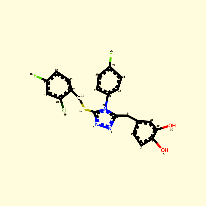 Oc1ccc(Cc2nnc(SCc3ccc(F)cc3Cl)n2-c2ccc(F)cc2)cc1O